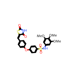 COc1cc(NS(=O)(=O)c2ccc(Oc3ccc(C=C4SC(=O)NC4=O)cc3)cc2)cc(OC)c1OC